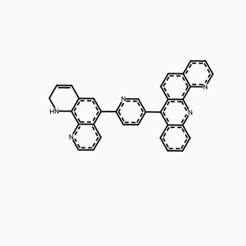 C1=Cc2cc(-c3ccc(-c4c5ccccc5nc5c4ccc4cccnc45)cn3)c3cccnc3c2NC1